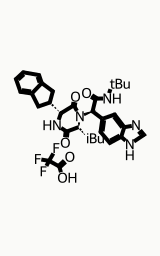 CC[C@@H](C)[C@@H]1C(=O)N[C@H](C2Cc3ccccc3C2)C(=O)N1[C@@H](C(=O)NC(C)(C)C)c1ccc2[nH]cnc2c1.O=C(O)C(F)(F)F